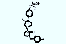 Cc1ccc(CN2CC[C@@H](N3CC[C@@H](c4ccc(OP(C)(=O)O)cc4)[C@H](F)C3)C2=O)cc1